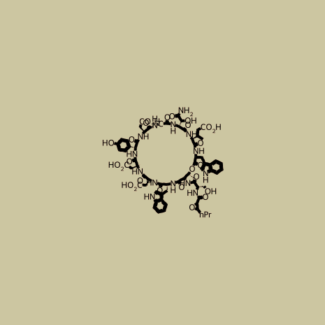 CCCC1OC1C(=O)N[C@@H](CO)C(=O)NC1C(=O)N[C@H](Cc2c[nH]c3ccccc23)C(=O)N[C@@H](CC(=O)O)C(=O)N[C@@H](CC(=O)O)C(=O)N[C@H](c2ccc(O)cc2)C(=O)N[C@@H](CC(=O)O)C(=O)NCC(=O)N[C@H](C(O)C(N)=O)C(=O)N[C@@H](C(C)CC(=O)O)C(=O)NC(Cc2c[nH]c3ccccc23)C(=O)O[C@@H]1C